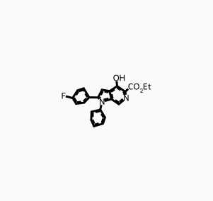 CCOC(=O)c1ncc2c(cc(-c3ccc(F)cc3)n2-c2ccccc2)c1O